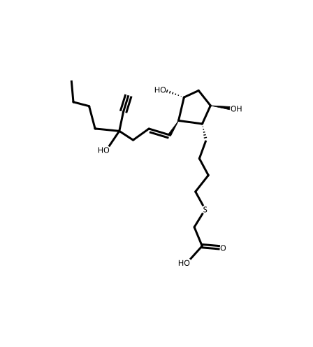 C#CC(O)(CC=C[C@@H]1[C@@H](CCCCSCC(=O)O)[C@H](O)C[C@H]1O)CCCC